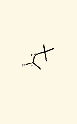 CC[C@H](C)NC(C)(C)C